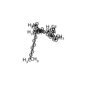 CC[C@@]1(O)C(=O)OCc2c1cc1n(c2=O)Cc2c-1nc1cc(F)c(C)c3c1c2[C@@H](NC(=O)C(O)c1ccc(NC(=O)C(CCCNC(N)=O)NC(=O)[C@@H](NC(=O)CCOCCOCCOCCOCCOCCOCCC(C)C)C(C)C)cc1)CC3